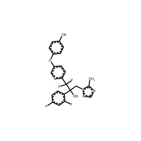 Cc1ncnn1CC(O)(c1ccc(F)cc1F)C(F)(F)c1ccc(Oc2ccc(C#N)cc2)cn1